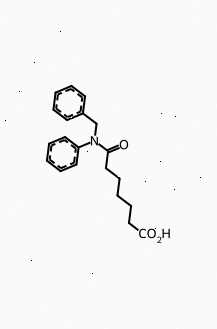 O=C(O)CCCCCC(=O)N(Cc1ccccc1)c1ccccc1